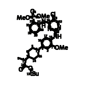 COc1cc(N2CCC(N(C)C(=O)OC(C)(C)C)CC2)ccc1Nc1ncc(Cl)c(Nc2ccccc2P(=O)(OC)OC)n1